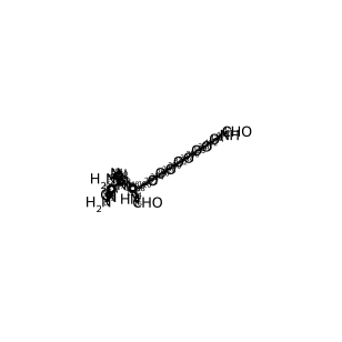 Nc1nc2cc(-c3nn(Cc4ccc(CNC=O)c(CCCCOCCOCCOCCOCCOCCOCCOCCOCCNC=O)c4)c4ncnc(N)c34)ccc2o1